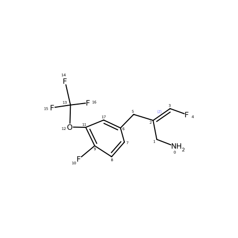 NC/C(=C\F)Cc1ccc(F)c(OC(F)(F)F)c1